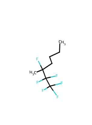 CCCCC(C)(F)C(F)(F)C(F)(F)F